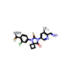 CNC(=S)c1ccc(N2C(=S)N(c3cnc(C=N)c(C(F)(F)F)c3)C(=O)C23CCC3)cc1F